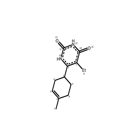 CCc1c(C2CC=C(C)CC2)[nH]c(=O)[nH]c1=O